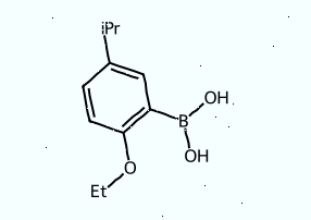 CCOc1ccc(C(C)C)cc1B(O)O